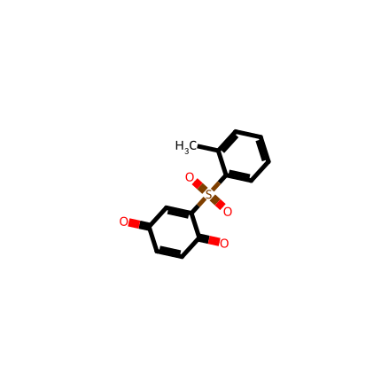 Cc1ccccc1S(=O)(=O)C1=CC(=O)C=CC1=O